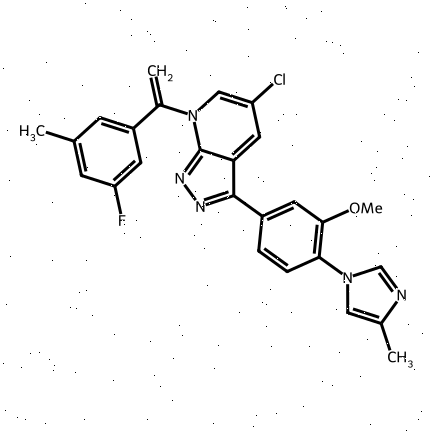 C=C(c1cc(C)cc(F)c1)n1cc(Cl)cc2c(-c3ccc(-n4cnc(C)c4)c(OC)c3)nnc1-2